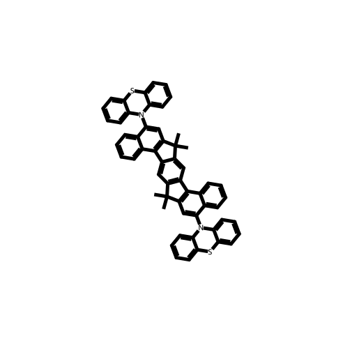 CC1(C)c2cc3c(cc2-c2c1cc(N1c4ccccc4Sc4ccccc41)c1ccccc21)C(C)(C)c1cc(N2c4ccccc4Sc4ccccc42)c2ccccc2c1-3